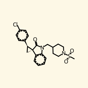 CS(=O)(=O)N1CCC(CN2C(=O)[C@@]3(C[C@H]3c3ccc(Cl)cc3)c3ccccc32)CC1